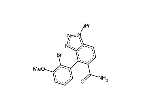 COc1cccc(-c2c(C(N)=O)ccc3c2nnn3C(C)C)c1Br